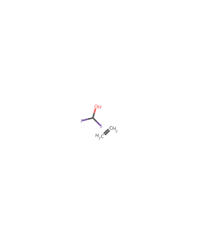 C=C.OC(I)I